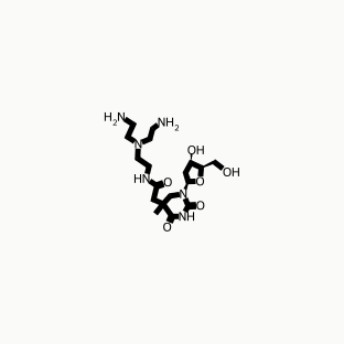 CC1(CC(=O)NCCN(CCN)CCN)CN([C@H]2C[C@H](O)[C@@H](CO)O2)C(=O)NC1=O